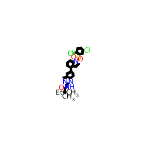 CCC(C)(C)C(=O)Nc1ncc2cc(-c3cccc4c3ccn4S(=O)(=O)c3cc(Cl)ccc3Cl)ccc2n1